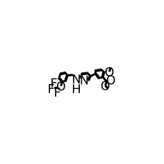 COC(=O)c1cc(-c2ccc(NCc3cccc(OC(F)(F)F)c3)nc2)ccc1OC